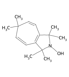 CC1(C)C=CC2=C(C=C1)C(C)(C)N(O)C2(C)C